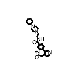 CN1C(=O)Cc2ccncc2-c2ccc(C(=O)NCCN3CCN(C4CCCCC4)CC3)cc21